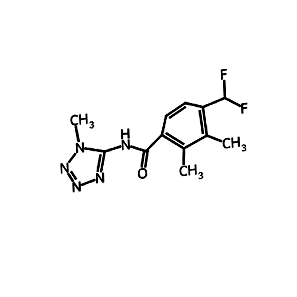 Cc1c(C(=O)Nc2nnnn2C)ccc(C(F)F)c1C